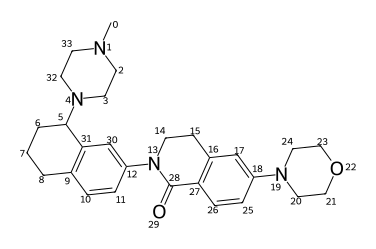 CN1CCN(C2CCCc3ccc(N4CCc5cc(N6CCOCC6)ccc5C4=O)cc32)CC1